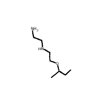 CCC(C)OCCNCCN